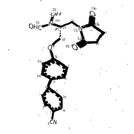 N#Cc1ccc(-c2ccc(OC[C@@H](CN3C(=O)CCC3=O)N(O)C=O)cc2)cc1